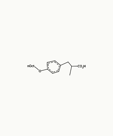 CCCCCCCCOc1ccc(CC(C)C(=O)O)cc1